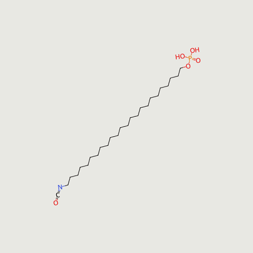 O=C=NCCCCCCCCCCCCCCCCCCCCCCCCOP(=O)(O)O